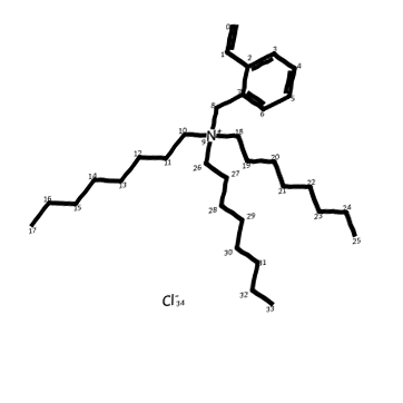 C=Cc1ccccc1C[N+](CCCCCCCC)(CCCCCCCC)CCCCCCCC.[Cl-]